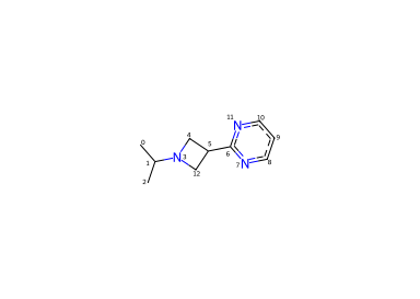 CC(C)N1CC(c2ncccn2)C1